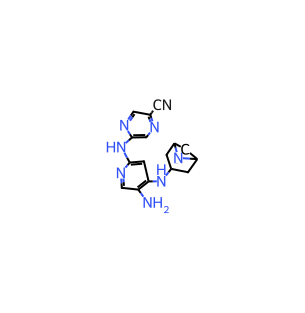 CN1C2CC(Nc3cc(Nc4cnc(C#N)cn4)ncc3N)CC1C2